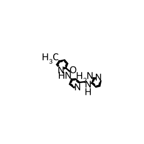 Cc1ccc(C(=O)Nc2ccnc(CNc3cccnc3N)c2)nc1